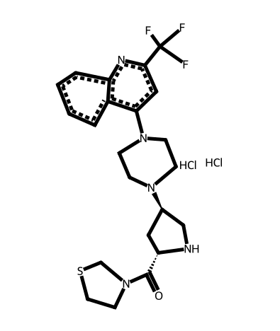 Cl.Cl.O=C([C@@H]1C[C@@H](N2CCN(c3cc(C(F)(F)F)nc4ccccc34)CC2)CN1)N1CCSC1